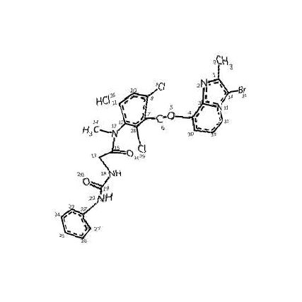 Cc1nc2c(OCc3c(Cl)ccc(N(C)C(=O)CNC(=O)Nc4ccccc4)c3Cl)cccn2c1Br.Cl